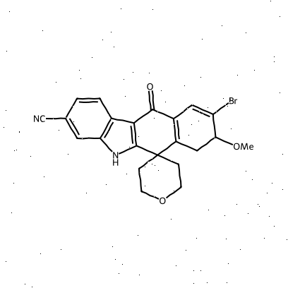 COC1CC2=C(C=C1Br)C(=O)c1c([nH]c3cc(C#N)ccc13)C21CCOCC1